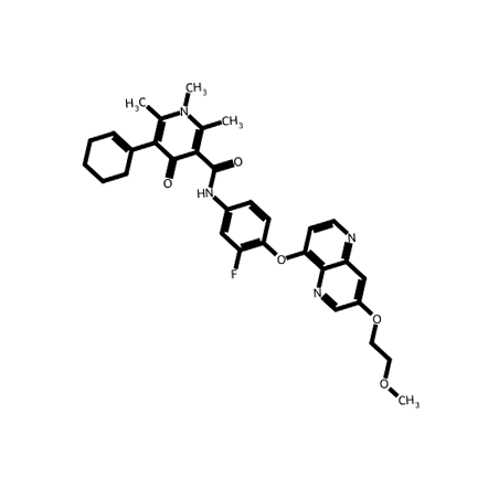 COCCOc1cnc2c(Oc3ccc(NC(=O)c4c(C)n(C)c(C)c(C5=CCCCC5)c4=O)cc3F)ccnc2c1